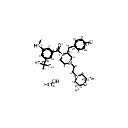 CNc1cc(C(=O)N2CCN(CCN3C[C@@H](C)O[C@@H](C)C3)CC2Cc2ccc(Cl)cc2)cc(C(F)(F)F)c1.Cl.Cl